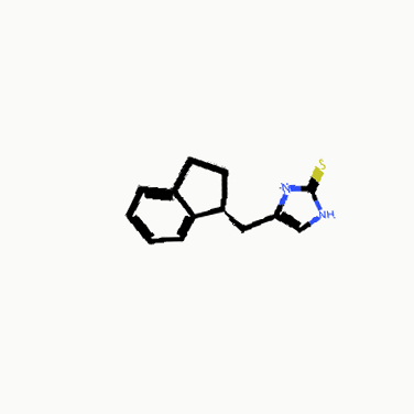 S=C1[N]C(C[C@@H]2CCc3ccccc32)=CN1